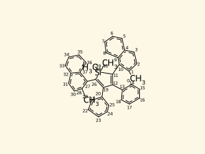 Cc1ccc2ccccc2c1C1=C(c2ccccc2)C(c2ccccc2)=C(c2c(C)ccc3ccccc23)[Si]1(C)C